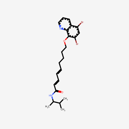 CC(C)C(C)NC(=O)C=CC=CCCCCOc1c(Br)cc(Br)c2cccnc12